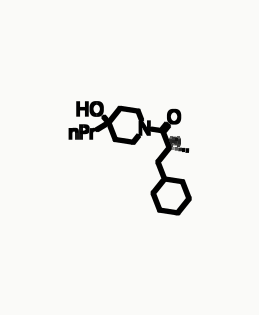 CCCC1(O)CCN(C(=O)[C@H](C)CC2CCCCC2)CC1